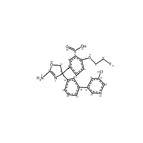 NC1=NC(c2ccc(OCCF)cc2)(c2cccc(-c3cncc(Cl)c3)c2)CO1.O=CO